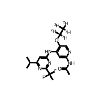 [2H]C([2H])([2H])C([2H])([2H])Oc1cnc(NC(C)=O)cc1Nc1cc(C(C)C)nc(C(C)(F)F)n1